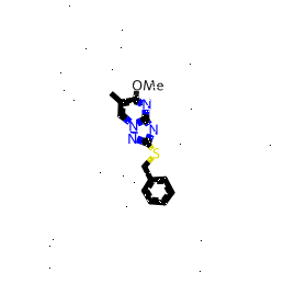 COc1nc2nc(SCc3ccccc3)nn2cc1C